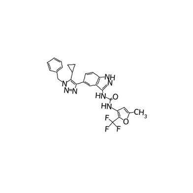 Cc1cc(NC(=O)Nc2n[nH]c3ccc(-c4nnn(Cc5ccccc5)c4C4CC4)cc23)c(C(F)(F)F)o1